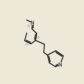 C\C=C/C(=C\C=N\C)CCc1ccncc1